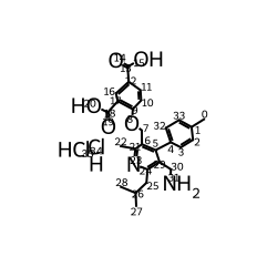 Cc1ccc(-c2c(COc3ccc(C(=O)O)cc3C(=O)O)c(C)nc(CC(C)C)c2CN)cc1.Cl.Cl